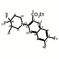 CCOC(=O)c1nc2cc(F)c(F)cc2nc1N1CCC(F)(F)C(C)C1